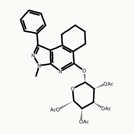 CC(=O)O[C@@H]1O[C@H](Oc2nc3c(c(-c4ccccc4)nn3C)c3c2CCCC3)[C@H](OC(C)=O)[C@H](OC(C)=O)[C@@H]1OC(C)=O